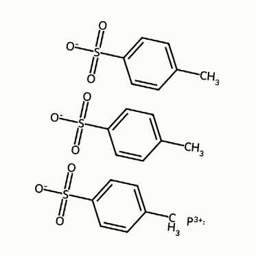 Cc1ccc(S(=O)(=O)[O-])cc1.Cc1ccc(S(=O)(=O)[O-])cc1.Cc1ccc(S(=O)(=O)[O-])cc1.[P+3]